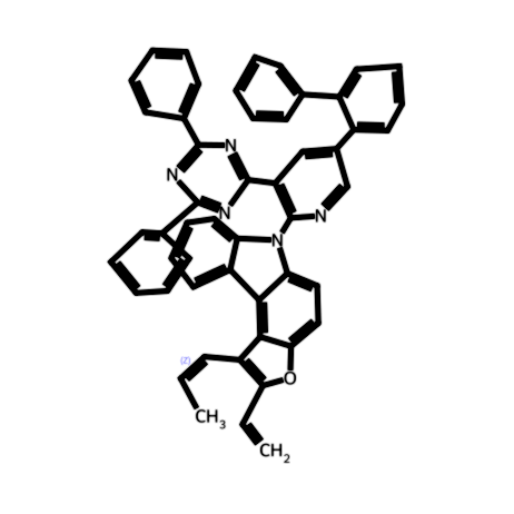 C=Cc1oc2ccc3c(c4ccccc4n3-c3ncc(-c4ccccc4-c4ccccc4)cc3-c3nc(-c4ccccc4)nc(-c4ccccc4)n3)c2c1/C=C\C